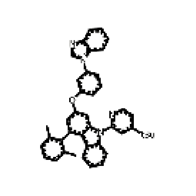 Cc1cccc(C)c1-c1cc(Oc2cccc(-n3cnc4ccccc43)c2)cc2c1c1ccccc1n2-c1cc(C(C)(C)C)ccn1